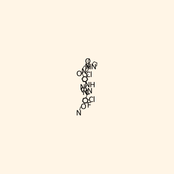 COC([C@@H]1CCCN1)N1CCN(C(=O)c2ccc(Nc3nccn4c(-c5ccc(OCC#N)c(F)c5Cl)cnc34)cc2Cl)CC1